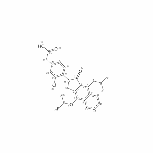 CC(C)Cc1c2c(c(OC(F)F)c3ccccc13)CN(c1ccc(CC(=O)O)cc1Cl)C2=O